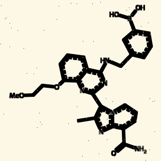 COCCOc1cccc2c(NCc3cccc(B(O)O)c3)nc(-c3c(C)nc4c(C(N)=O)cccn34)nc12